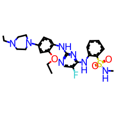 CCOc1cc(N2CCN(CC)CC2)ccc1Nc1ncc(F)c(Nc2ccccc2S(=O)(=O)NC)n1